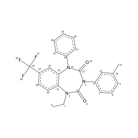 CCN1C(=O)N(c2cccc(C)c2)C(=O)N(c2ccccc2)c2cc(C(F)(F)F)ccc21